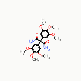 COc1cc(C(C(N)=O)(C(N)=O)c2cc(OC)c(OC)c(OC)c2)cc(OC)c1OC